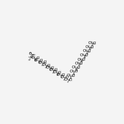 CC(Cl)Cl.CC(Cl)Cl.CC(Cl)Cl.CC(Cl)Cl.CC(Cl)Cl.CC(Cl)Cl.CC(Cl)Cl.CC(Cl)Cl.CC(Cl)Cl.CC(Cl)Cl.CC(Cl)Cl.CC(Cl)Cl.CC(Cl)Cl.CC(Cl)Cl.CC(Cl)Cl.CC(Cl)Cl.CC(Cl)Cl.CC(Cl)Cl.CC(Cl)Cl.CCOC(C)=O